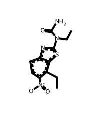 CCc1c([N+](=O)[O-])ccc2nc(N(CC)C(N)=O)sc12